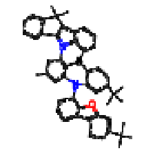 Cc1cc2c3c(c1)-n1c4c(c5cccc(c51)B3c1ccc(C(C)(C)C)cc1N2c1cccc2c1oc1cc(C(C)(C)C)ccc12)C(C)(C)c1ccccc1-4